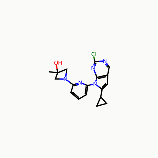 CC1(O)CN(c2cccc(-n3c(C4CC4)cc4cnc(Cl)nc43)n2)C1